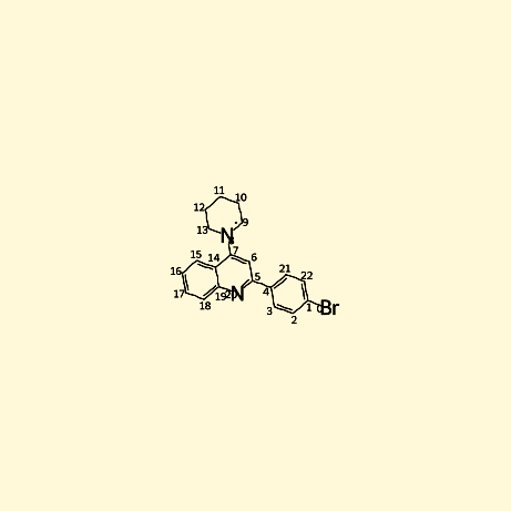 Brc1ccc(-c2cc(N3[CH]CCCC3)c3ccccc3n2)cc1